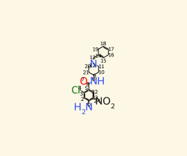 Nc1cc(Cl)c(C(=O)NC2CCN(CC3=CCC=CC3)CC2)cc1[N+](=O)[O-]